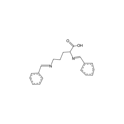 O=C(O)C(CCC/N=C/c1ccccc1)/N=C/c1ccccc1